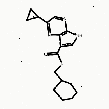 O=C(NCC1CCCCC1)c1c[nH]c2ncc(C3CC3)nc12